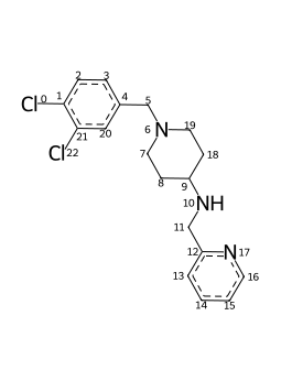 Clc1ccc(CN2CCC(NCc3ccccn3)CC2)cc1Cl